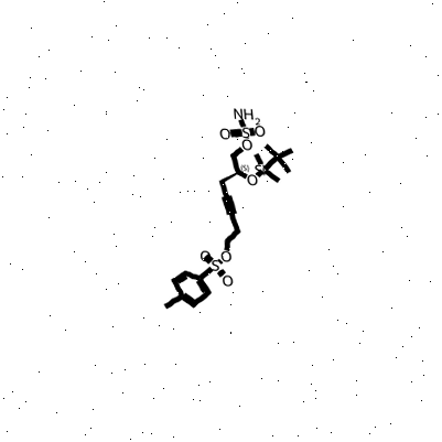 Cc1ccc(S(=O)(=O)OCCC#CC[C@@H](COS(N)(=O)=O)O[Si](C)(C)C(C)(C)C)cc1